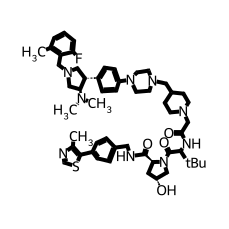 Cc1cccc(F)c1CN1C[C@H](c2ccc(N3CCN(CC4CCN(CC(=O)NC(C(=O)N5C[C@H](O)C[C@H]5C(=O)NCc5ccc(-c6scnc6C)cc5)C(C)(C)C)CC4)CC3)cc2)[C@@H](N(C)C)C1